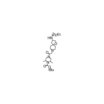 CC[C@@H]1C[C@H]1NC1COC2(CCN(CC(=O)N3CC(C)N(C(=O)OC(C)(C)C)C(C)C3)CC2)C1